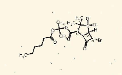 CCCCCC(=O)OC(C)(C)OC(=O)[C@@H]1N2C(=O)[C@@H](Br)[C@H]2S(=O)(=O)C1(C)C